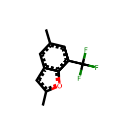 Cc1cc(C(F)(F)F)c2oc(C)cc2c1